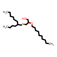 CCCCCCCCCCOC(CO)CSCC(CCCC)CCCCCC